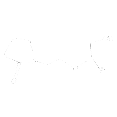 CCC(CO)OCCN1CCCC1=O